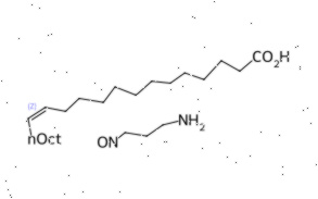 CCCCCCCC/C=C\CCCCCCCCCCCC(=O)O.NCCCN=O